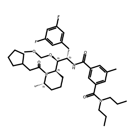 CCCN(CCC)C(=O)c1cc(C)cc(C(=O)N[C@@H](Cc2cc(F)cc(F)c2)[C@H](OCOC)[C@H]2CCC[C@H](C)N2C(=O)CC2CCCC2)c1